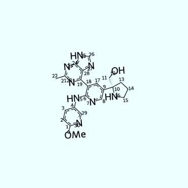 COc1ccc(Nc2ncc([C@@]3(CO)CCCN3)cc2-c2nc(C)nc3[nH]cnc23)cn1